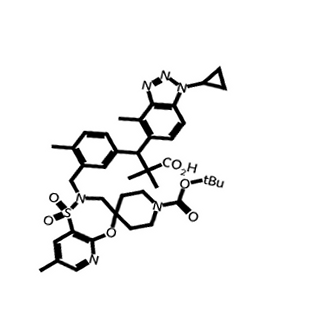 Cc1cnc2c(c1)S(=O)(=O)N(Cc1cc(C(c3ccc4c(nnn4C4CC4)c3C)C(C)(C)C(=O)O)ccc1C)CC1(CCN(C(=O)OC(C)(C)C)CC1)O2